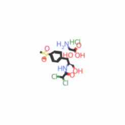 CS(=O)(=O)c1ccc([C@@H](O)[C@@H](CO)NC(=O)C(Cl)Cl)cc1.Cl.NCC(=O)O